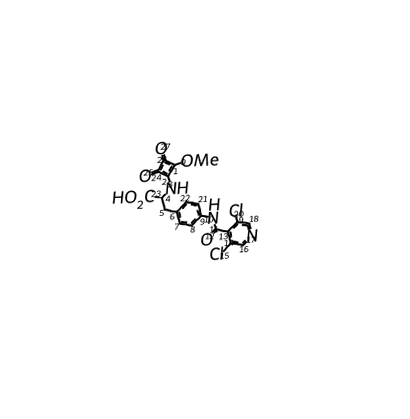 COc1c(N[C@@H](Cc2ccc(NC(=O)c3c(Cl)cncc3Cl)cc2)C(=O)O)c(=O)c1=O